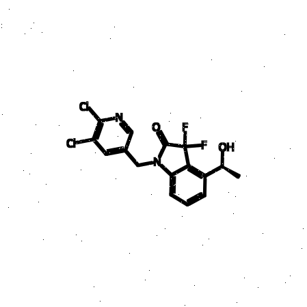 C[C@H](O)c1cccc2c1C(F)(F)C(=O)N2Cc1cnc(Cl)c(Cl)c1